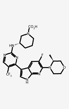 C[C@H]1COCCN1c1nc2[nH]cc(-c3nc(N[C@H]4CCCN(C(=O)O)C4)ncc3C(F)(F)F)c2cc1F